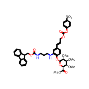 COC(=O)[C@H]1O[C@@H](Oc2ccc(/C=C/COC(=O)Oc3ccc([N+](=O)[O-])cc3)cc2NCCCNC(=O)OCC2c3ccccc3-c3ccccc32)[C@H](OC(C)=O)[C@@H](OC(C)=O)[C@@H]1OC(C)=O